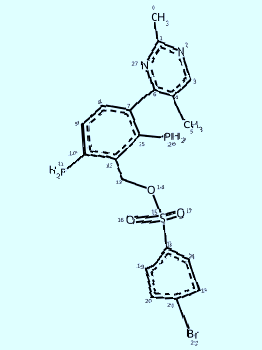 Cc1ncc(C)c(-c2ccc(P)c(COS(=O)(=O)c3ccc(Br)cc3)c2P)n1